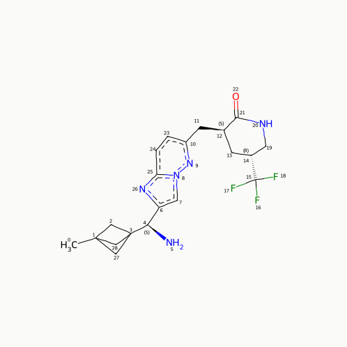 CC12CC([C@H](N)c3cn4nc(C[C@@H]5C[C@@H](C(F)(F)F)CNC5=O)ccc4n3)(C1)C2